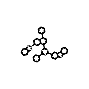 c1ccc(-c2nc(-c3ccc4sc5ccccc5c4c3)nc(-c3ccc(-c4ccccc4)c4ccc(-n5nc6ccccc6n5)cc34)n2)cc1